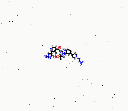 CN(C)CCN1CCC(c2ccc3nc(NC(=O)c4ccnc(-c5cnn(C)c5)c4F)n(CC(C)(C)O)c3c2)CC1